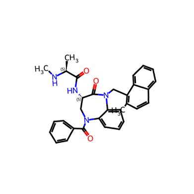 CN[C@@H](C)C(=O)N[C@H]1CN(C(=O)c2ccccc2)c2ccccc2N(Cc2c(C)ccc3ccccc23)C1=O